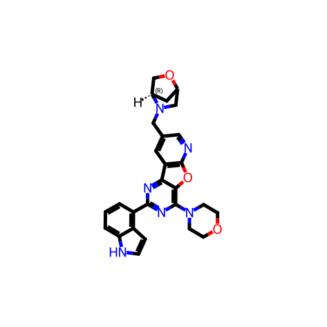 c1cc(-c2nc(N3CCOCC3)c3oc4ncc(CN5CC6C[C@@H]5CO6)cc4c3n2)c2cc[nH]c2c1